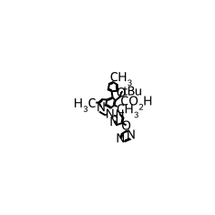 Cc1ccc(-c2c([C@H](OC(C)(C)C)C(=O)O)c(C)c3c4c2cc(C)n4CCN3c2ncc(Oc3cnccn3)cn2)cc1